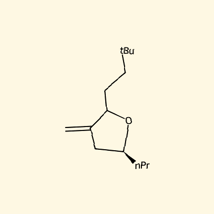 C=C1C[C@H](CCC)OC1CCC(C)(C)C